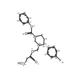 O=C(O)CC(=O)OC[C@H]1CN(C(=O)Oc2ccccc2)CC[C@@H]1c1ccc(F)cc1